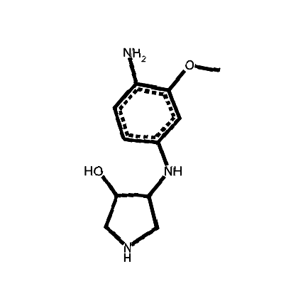 COc1cc(NC2CNCC2O)ccc1N